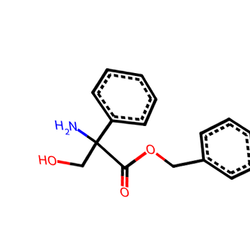 NC(CO)(C(=O)OCc1ccccc1)c1ccccc1